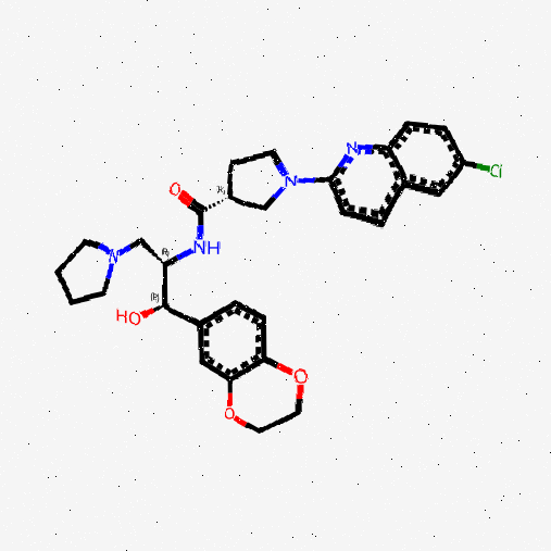 O=C(N[C@H](CN1CCCC1)[C@H](O)c1ccc2c(c1)OCCO2)[C@@H]1CCN(c2ccc3cc(Cl)ccc3n2)C1